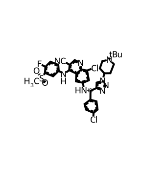 CC(C)(C)N1CCC(n2cc([C@@H](Nc3cc(Cl)c4ncc(C#N)c(Nc5ccc(F)c(S(C)(=O)=O)c5)c4c3)c3ccc(Cl)cc3)nn2)CC1